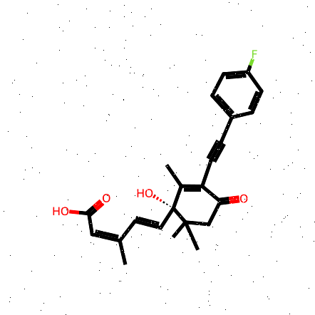 CC1=C(C#Cc2ccc(F)cc2)C(=O)CC(C)(C)[C@@]1(O)/C=C/C(C)=C\C(=O)O